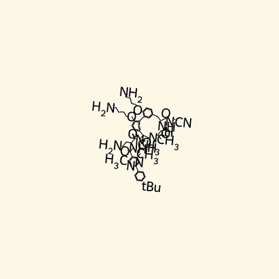 Cc1nc(-c2ccc(C(C)(C)C)cc2)nc(C)c1C(=O)NC(CCN)C(=O)N(C)C1C(=O)NC(C)C(=O)NC(C(=O)NCC#N)Cc2ccc(OCCCCN)c(c2)-c2cc1ccc2OCCCCN